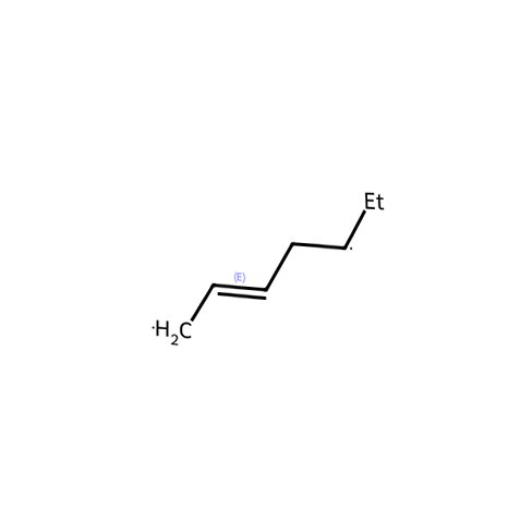 [CH2]/C=C/C[CH]CC